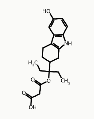 CCC(CC)(OC(=O)CC(=O)O)C1CCc2c([nH]c3ccc(O)cc23)C1